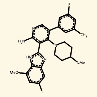 CNC1CCN(c2c(-c3cc(C)cc(F)c3)cnc(N)c2-c2nc3cc(F)cc(OC)c3[nH]2)CC1